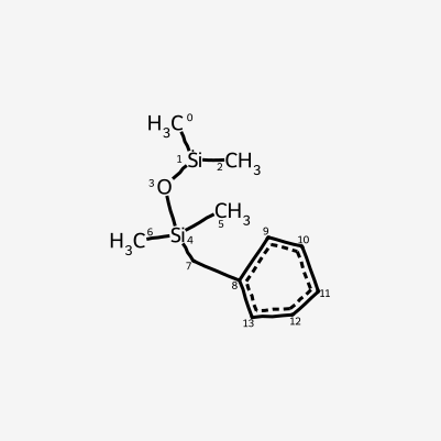 C[Si](C)O[Si](C)(C)Cc1ccccc1